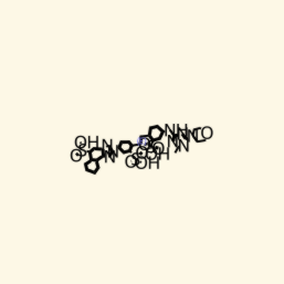 Cc1nc(Nc2ccc(/C=C/c3ccc(-n4nc5cc(S(=O)O)c6ccccc6c5n4)cc3S(=O)(=O)O)c(S(=O)(=O)O)c2)nc(N2CCOCC2)n1